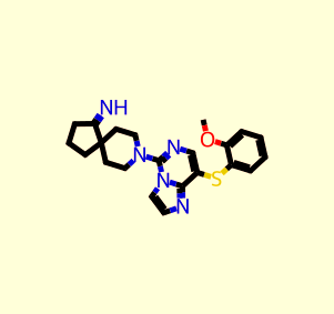 COc1ccccc1Sc1cnc(N2CCC3(CCCC3=N)CC2)n2ccnc12